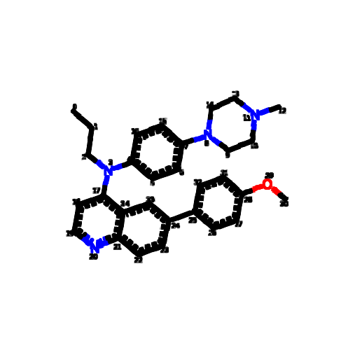 CCCN(c1ccc(N2CCN(C)CC2)cc1)c1ccnc2ccc(-c3ccc(OC)cc3)cc12